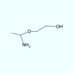 [CH2]C(N)OCCO